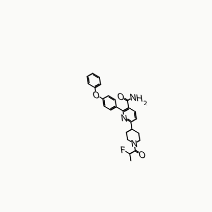 CC(F)C(=O)N1CCC(c2ccc(C(N)=O)c(-c3ccc(Oc4ccccc4)cc3)n2)CC1